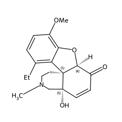 CCc1ccc(OC)c2c1[C@]13CCN(C)C[C@]1(O)C=CC(=O)[C@@H]3O2